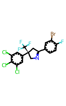 Fc1ccc(C2=NC[C@@](c3cc(Cl)c(Cl)c(Cl)c3)(C(F)(F)F)C2)cc1Br